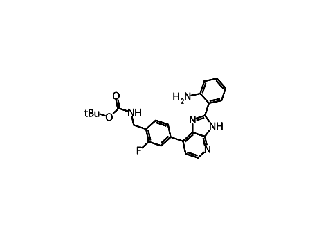 CC(C)(C)OC(=O)NCc1ccc(-c2ccnc3[nH]c(-c4ccccc4N)nc23)cc1F